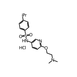 CC(C)c1ccc(S(=O)(=O)Nc2ccc(OCCN(C)C)nc2)cc1.Cl